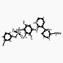 CNc1nccc(-c2cccnc2Oc2cc(F)c(NS(=O)(=O)Cc3cccc(C)c3)c(F)c2F)n1